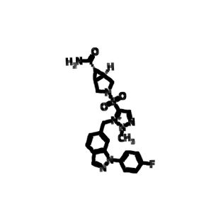 Cn1ncc(S(=O)(=O)N2CC3[C@H](C2)[C@H]3C(N)=O)[n+]1Cc1ccc2cnn(-c3ccc(F)cc3)c2c1